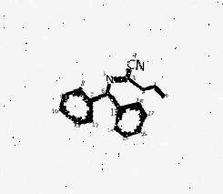 C=CC/C(C#N)=N\C(c1ccccc1)c1ccccc1